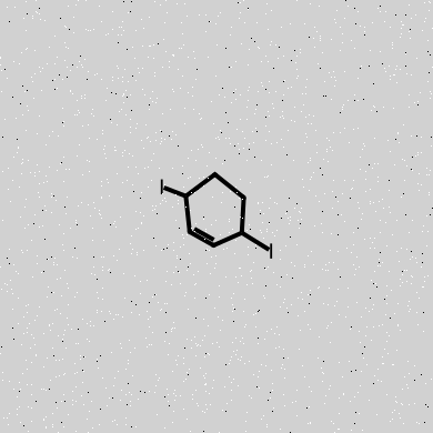 IC1C=CC(I)CC1